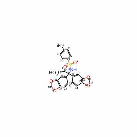 CC(C)c1ccc(S(=O)(=O)NC(CC(=O)O)(c2ccc3c(c2)OCO3)c2ccc3c(c2)OCO3)cc1